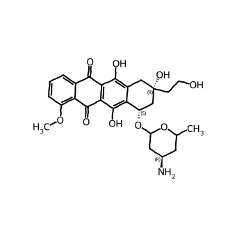 COc1cccc2c1C(=O)c1c(O)c3c(c(O)c1C2=O)C[C@@](O)(CCO)C[C@@H]3OC1C[C@H](N)CC(C)O1